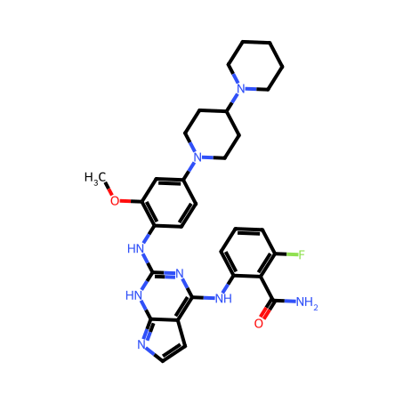 COc1cc(N2CCC(N3CCCCC3)CC2)ccc1Nc1nc(Nc2cccc(F)c2C(N)=O)c2ccnc-2[nH]1